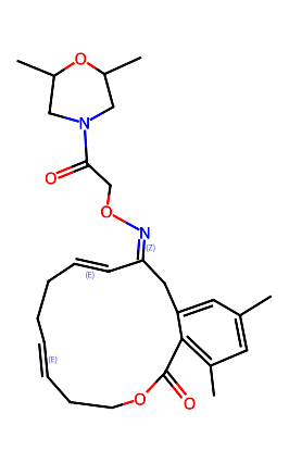 Cc1cc(C)c2c(c1)CC(=N/OCC(=O)N1CC(C)OC(C)C1)/C=C/CC/C=C/CCOC2=O